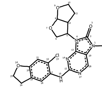 Cn1c(=O)n(C2COC3OCCC32)c2nc(Nc3cc4c(cc3Cl)OCC4)ncc21